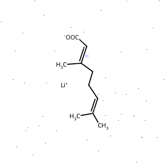 CC(C)=CCC/C(C)=C/C(=O)[O-].[Li+]